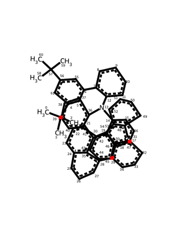 CC(C)(C)c1cc(-c2ccccc2N(c2ccccc2-c2cccc3cccc(-c4ccccc4)c23)c2ccccc2-c2cccc3sc4ccccc4c23)cc(C(C)(C)C)c1